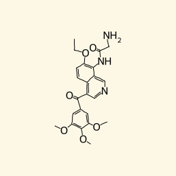 CCOc1ccc2c(C(=O)c3cc(OC)c(OC)c(OC)c3)cncc2c1NC(=O)CN